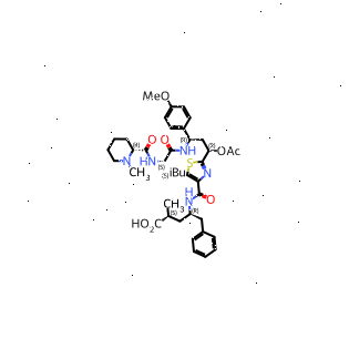 CC[C@H](C)[C@H](NC(=O)[C@H]1CCCCN1C)C(=O)N[C@H](C[C@@H](OC(C)=O)c1nc(C(=O)N[C@@H](Cc2ccccc2)C[C@H](C)C(=O)O)cs1)c1ccc(OC)cc1